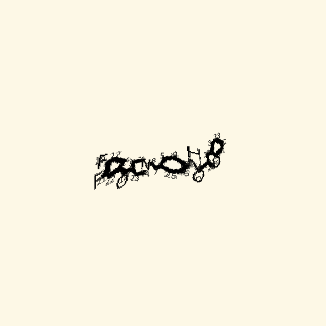 O=C(NC1CCC(CCN2CCC(C(=O)c3ccc(F)c(F)c3)CC2)CC1)C1COc2ccccc2C1